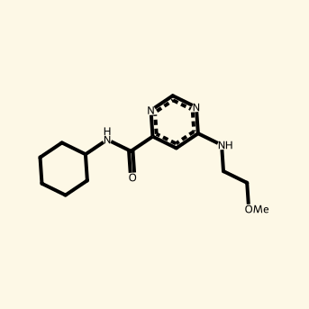 COCCNc1cc(C(=O)NC2CCCCC2)ncn1